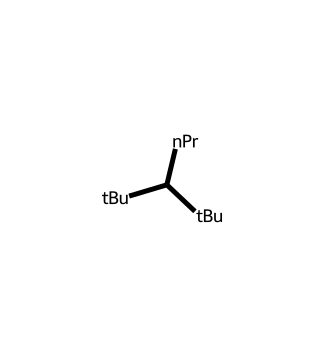 [CH2]C(C)(C)C(CCC)C(C)(C)C